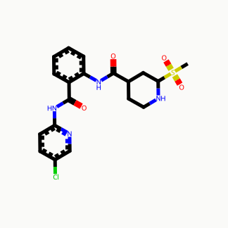 CS(=O)(=O)C1CC(C(=O)Nc2ccccc2C(=O)Nc2ccc(Cl)cn2)CCN1